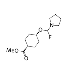 COC(=O)[C@H]1CC[C@@H](OC(F)N2CCCC2)CC1